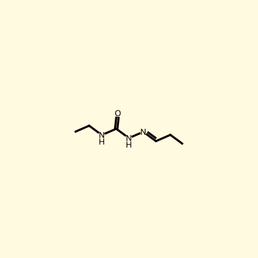 CC/C=N/NC(=O)NCC